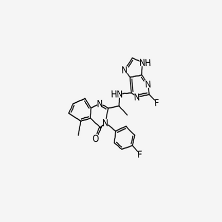 Cc1cccc2nc(C(C)Nc3nc(F)nc4[nH]cnc34)n(-c3ccc(F)cc3)c(=O)c12